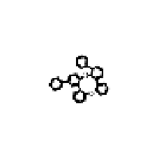 c1ccc(-c2ccc3c(c2)-c2ccccc2Oc2ccccc2-c2cccc(-c4ccccc4)c2O3)cc1